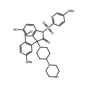 CCOc1ccc(OC)cc1C1(N2CCC(N3CCNCC3)CC2)C(=O)N(S(=O)(=O)c2ccc(OC)cn2)c2ccc(C#N)cc21